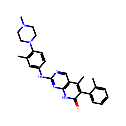 Cc1ccccc1-c1c(C)c2cnc(Nc3ccc(N4CCN(C)CC4)c(C)c3)nc2[nH]c1=O